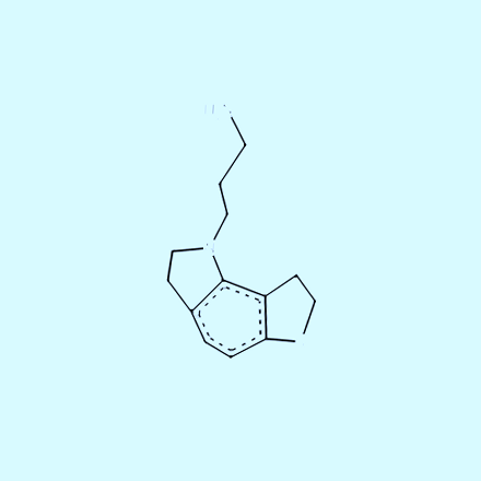 NCCCN1CCc2ccc3c(c21)CCS3